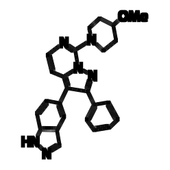 COC1CCN(c2nccc3c(-c4ccc5[nH]ncc5c4)c(-c4ccccc4)nn23)CC1